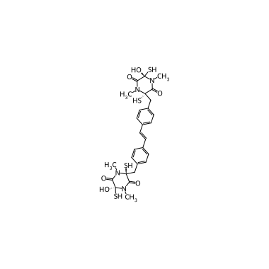 CN1C(=O)[C@@](S)(Cc2ccc(/C=C/c3ccc(C[C@]4(S)C(=O)N(C)[C@@](O)(S)C(=O)N4C)cc3)cc2)N(C)C(=O)[C@]1(O)S